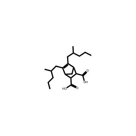 CCCC(C)CC1=C(CC(C)CCC)C2CC1C(C(=O)O)C2C(=O)O